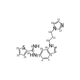 N=C(Nc1ccc2ccn(CCCn3ccnc3)c2c1)c1cccs1